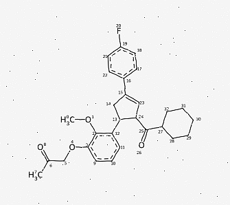 COc1c(OCC(C)=O)cccc1C1CC(c2ccc(F)cc2)=CC1C(=O)C1CCCCC1